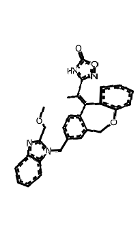 COCc1nc2ccccc2n1Cc1ccc2c(c1)COc1ccccc1C2=C(C)c1noc(=O)[nH]1